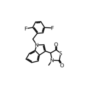 CN1C(=O)SC(=O)C1c1cn(Cc2cc(F)ccc2F)c2ccccc12